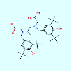 CC(CN(CC(=O)O)Cc1cc(C(C)(C)C)c(O)c(C(C)(C)C)c1)N(CC(=O)O)Cc1cc(C(C)(C)C)c(O)c(C(C)(C)C)c1